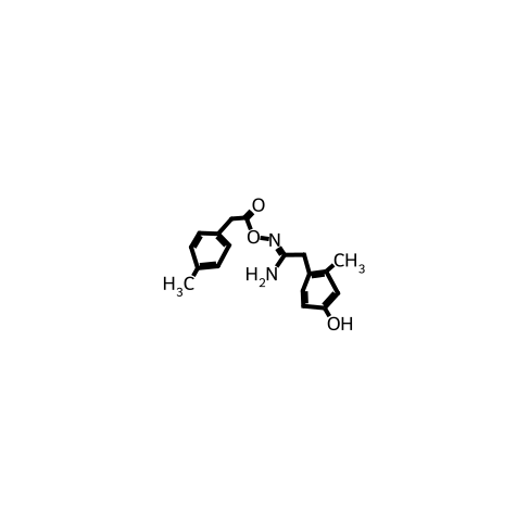 Cc1ccc(CC(=O)O/N=C(\N)Cc2ccc(O)cc2C)cc1